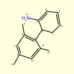 Cc1cc(C)c(C2CC=CC=C2N)c(C)c1